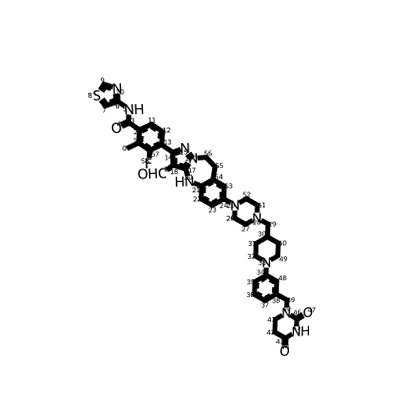 Cc1c(C(=O)Nc2cscn2)ccc(-c2nn3c(c2C=O)Nc2ccc(N4CCN(CC5CCN(c6cccc(CN7CCC(=O)NC7=O)c6)CC5)CC4)cc2CC3)c1F